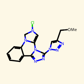 COCc1cn(-c2nnc3n2C2=CN(Cl)CN2c2ccccc2-3)nn1